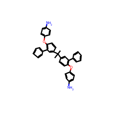 CC(C)(c1ccc(Oc2ccc(N)cc2)c(-c2ccccc2)c1)c1ccc(Oc2ccc(N)cc2)c(-c2ccccc2)c1